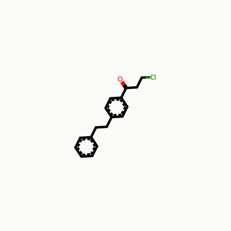 O=C(CCCl)c1ccc(CCc2ccccc2)cc1